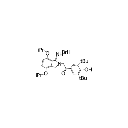 Br.CC(C)Oc1ccc(OC(C)C)c2c1CN(CC(=O)c1cc(C(C)(C)C)c(O)c(C(C)(C)C)c1)C2=N